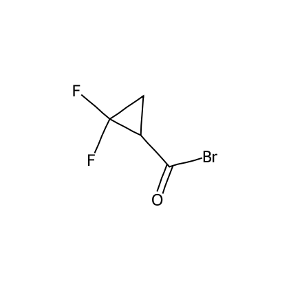 O=C(Br)C1CC1(F)F